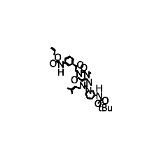 C=CCOC(=O)Nc1cccc(C(=O)Cn2c(=O)c3c(nc(N4CCCC(NC(=O)OC(C)(C)C)C4)n3CC=C(C)C)n(C)c2=O)c1